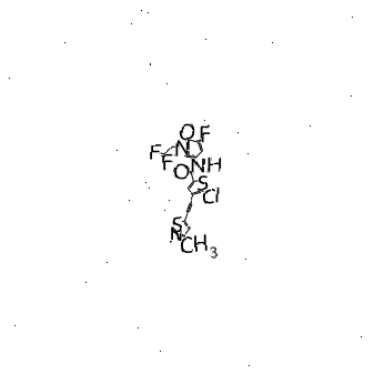 Cc1cc(C#Cc2cc(C(=O)Nc3cc(F)c(=O)n(CC(F)F)c3)sc2Cl)sn1